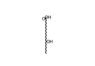 CCCCCCCCC(O)CCCCCCCCCCCCCCC(=O)O